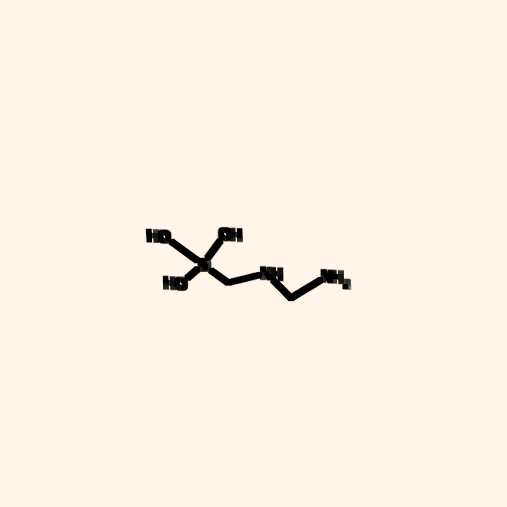 NCNC[Si](O)(O)O